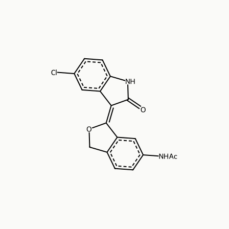 CC(=O)Nc1ccc2c(c1)C(=C1C(=O)Nc3ccc(Cl)cc31)OC2